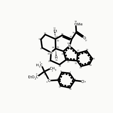 CCOC(=O)C(C)(C)Oc1ccc(Cl)cc1.CC[C@@]12C=C(C(=O)OC)n3c4c(c5ccccc53)CCN(CCC1)[C@H]42